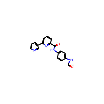 O=CNc1ccc(NC(=O)c2cccc(-c3cccnc3)n2)cc1